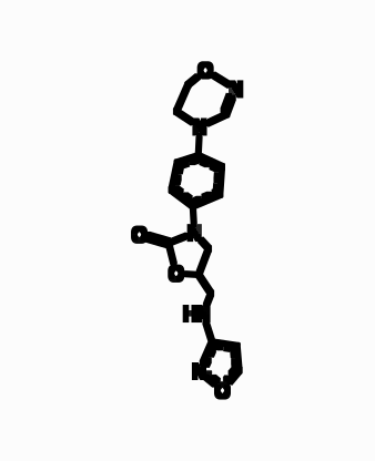 O=C1OC(CNc2ccon2)CN1c1ccc(N2C=NOCC2)cc1